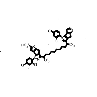 O=S(=O)(O)c1cc2c(s1)Cc1c(C(CCCCCCCCC(c3nn(-c4ccc(Cl)cc4Cl)c4c3Cc3sccc3-4)C(F)(F)F)C(F)(F)F)nn(-c3ccc(Cl)cc3Cl)c1-2